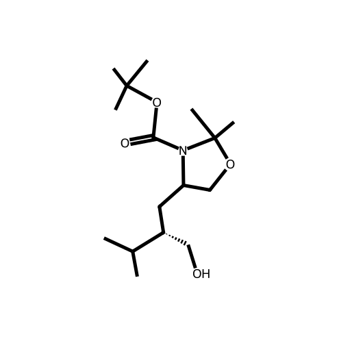 CC(C)[C@@H](CO)CC1COC(C)(C)N1C(=O)OC(C)(C)C